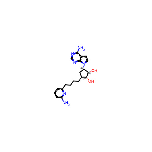 Nc1cccc(CCCC[C@H]2C[C@@H](n3ccc4c(N)ncnc43)[C@H](O)[C@@H]2O)n1